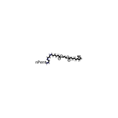 CCCCC/C=C\C/C=C\C/C=C\CCCCC(=O)OCCCOC(=O)CCCCC1CCSS1